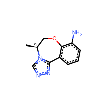 C[C@H]1COc2c(N)cccc2-c2nncn21